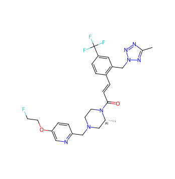 Cc1nnn(Cc2cc(C(F)(F)F)ccc2C=CC(=O)N2CCN(Cc3ccc(OCCF)cn3)C[C@H]2C)n1